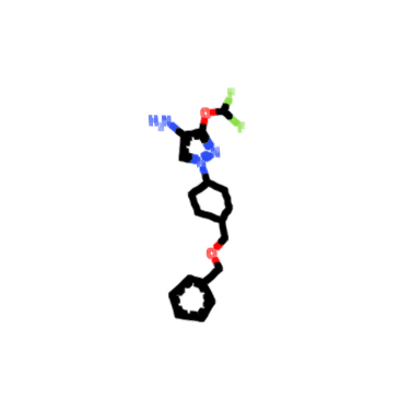 Nc1cn(C2CCC(COCc3ccccc3)CC2)nc1OC(F)F